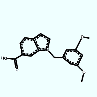 COc1cc(Cn2ccc3ccc(C(=O)O)cc32)cc(OC)c1